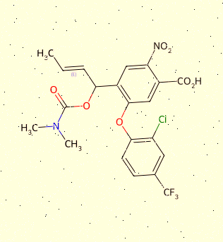 C/C=C/C(OC(=O)N(C)C)c1cc([N+](=O)[O-])c(C(=O)O)cc1Oc1ccc(C(F)(F)F)cc1Cl